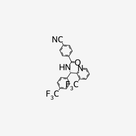 N#Cc1ccc(C(=O)N[C@@H](c2ccc(C(F)(F)F)cc2)c2ncccc2C(F)(F)F)cc1